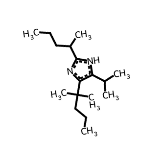 CCCC(C)c1nc(C(C)(C)CCC)c(C(C)C)[nH]1